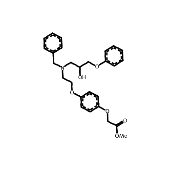 COC(=O)COc1ccc(OCCN(Cc2ccccc2)CC(O)COc2ccccc2)cc1